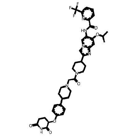 CC(C)Oc1cc2nc(C3CCN(C(=O)CN4CCC(c5ccc(OC6CCC(=O)NC6=O)cc5)CC4)CC3)cn2cc1NC(=O)c1cccc(C(F)(F)F)n1